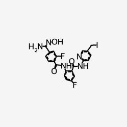 N/C(=N/O)c1ccc(C(=O)Nc2ccc(F)cc2C(=O)Nc2ccc(CI)cn2)c(F)c1